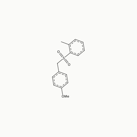 COc1ccc(CS(=O)(=O)c2ccccc2C)cc1